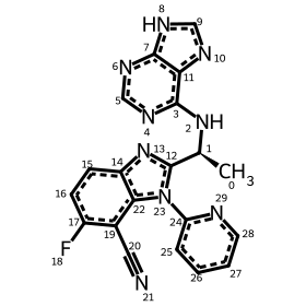 C[C@H](Nc1ncnc2[nH]cnc12)c1nc2ccc(F)c(C#N)c2n1-c1ccccn1